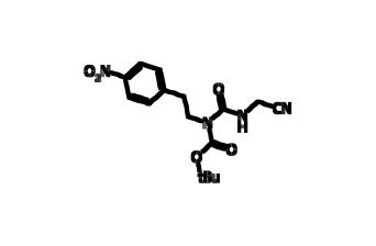 CC(C)(C)OC(=O)N(CCc1ccc([N+](=O)[O-])cc1)C(=O)NCC#N